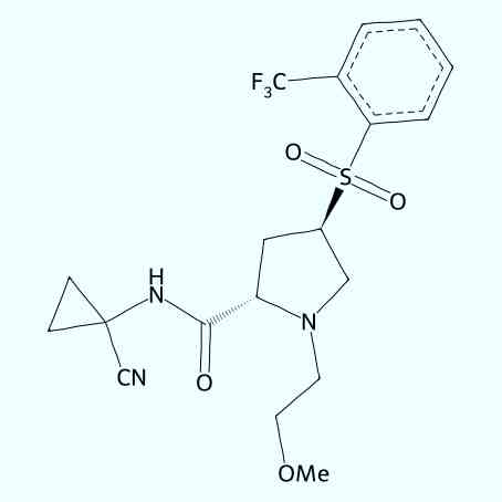 COCCN1C[C@H](S(=O)(=O)c2ccccc2C(F)(F)F)C[C@H]1C(=O)NC1(C#N)CC1